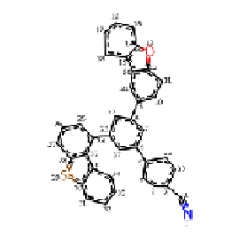 N#Cc1ccc(-c2cc(-c3ccc4oc5ccccc5c4c3)cc(-c3cccc4sc5ccccc5c34)c2)cc1